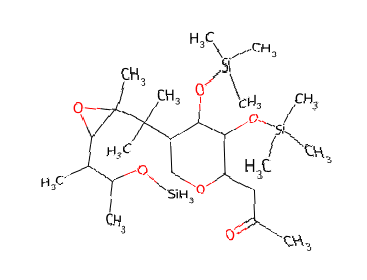 CC(=O)CC1OCC(C(C)(C)C2(C)OC2C(C)C(C)O[SiH3])C(O[Si](C)(C)C)C1O[Si](C)(C)C